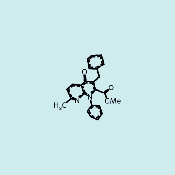 COC(=O)c1c(Cc2ccccc2)c(=O)c2ccc(C)nc2n1-c1ccccc1